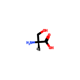 [2H][C@@](N)(CO)C(=O)O